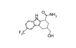 NC(=O)C1CC(CO)Cc2c1[nH]c1ccc(C(F)(F)F)cc21